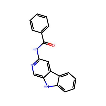 O=C(Nc1cc2c(cn1)[nH]c1ccccc12)c1ccccc1